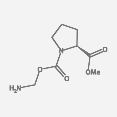 COC(=O)[C@@H]1CCCN1C(=O)OCN